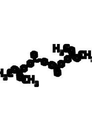 Cc1cccc(N(c2ccc(-c3ccc(C(CCc4ccc(-c5ccc(N(c6ccccc6)c6ccc(-c7ccc(N(c8cccc(C)c8)c8cccc(C)c8)cc7)cc6)cc5)cc4)c4ccccc4)cc3)cc2)c2cccc(C)c2)c1